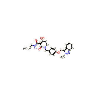 Cn1nc2ccccc2c1COc1ccc(CN2CCC(O)=C(C(=O)NCC(=O)O)C2=O)cc1